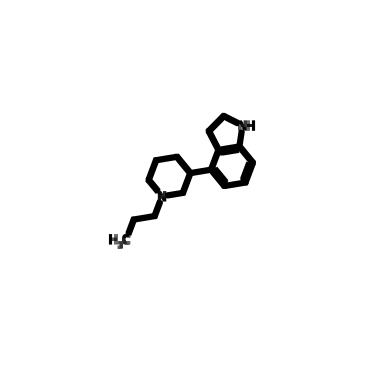 CCCN1CCCC(c2cccc3c2CCN3)C1